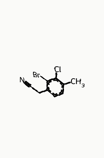 Cc1ccc(CC#N)c(Br)c1Cl